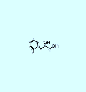 Cc1ccccc1C[C@H](O)CO